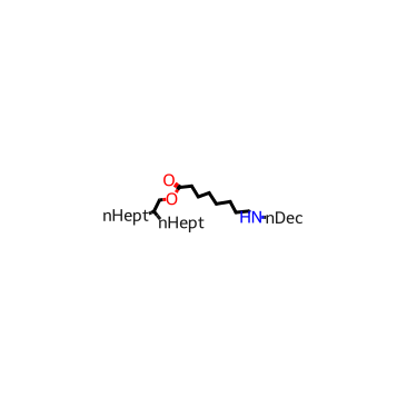 CCCCCCCCCCNCCCCCCCC(=O)OCC(CCCCCCC)CCCCCCC